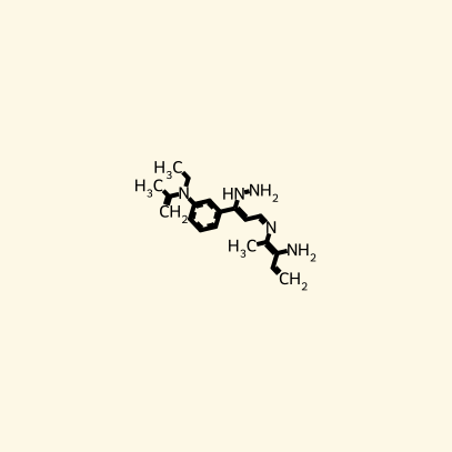 C=C/C(N)=C(C)/N=C\C=C(/NN)c1cccc(N(CC)C(=C)C)c1